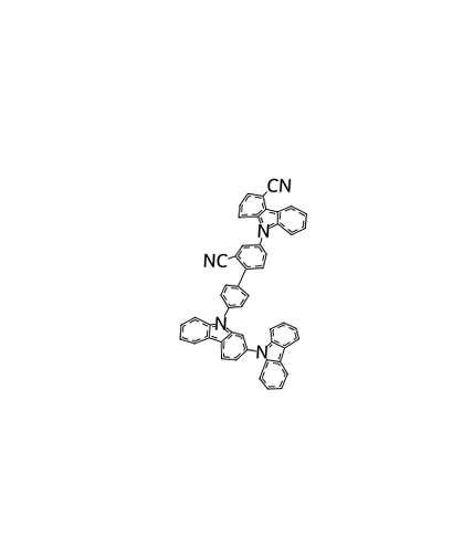 N#Cc1cc(-n2c3ccccc3c3c(C#N)cccc32)ccc1-c1ccc(-n2c3ccccc3c3ccc(-n4c5ccccc5c5ccccc54)cc32)cc1